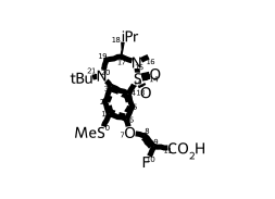 CSc1cc2c(cc1O/C=C(\F)C(=O)O)S(=O)(=O)N(C)[C@H](C(C)C)CN2C(C)(C)C